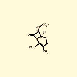 CC1=C(C(=O)O)N2C(=O)[C@@H](NC(=O)O)[C@H]2SC1